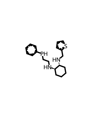 c1ccc(PCCN[C@@H]2CCCC[C@H]2NCc2cccs2)cc1